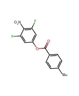 CCC(C)c1ccc(C(=O)Oc2cc(F)c([N+](=O)[O-])c(F)c2)cc1